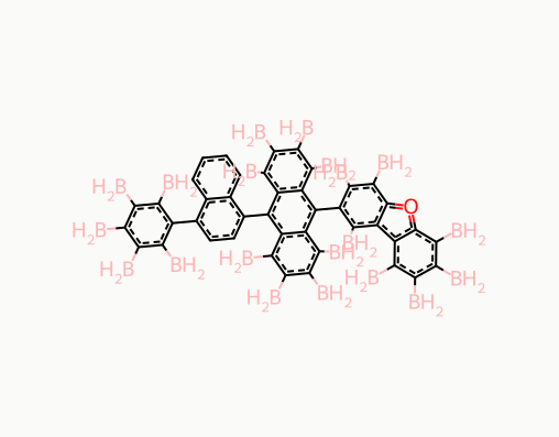 Bc1c(B)c(B)c(-c2ccc(-c3c4c(B)c(B)c(B)c(B)c4c(-c4c(B)c(B)c5oc6c(B)c(B)c(B)c(B)c6c5c4B)c4c(B)c(B)c(B)c(B)c34)c3ccccc23)c(B)c1B